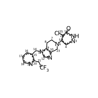 O=c1[nH]ncc(N2CCc3c(ncn3Cc3cccnc3CC(F)(F)F)C2)c1Cl